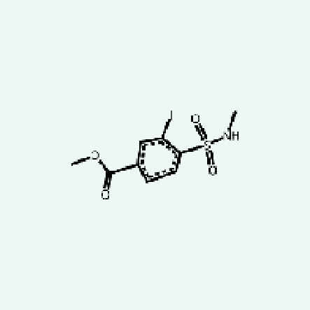 CNS(=O)(=O)c1ccc(C(=O)OC)cc1I